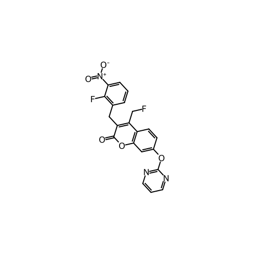 O=c1oc2cc(Oc3ncccn3)ccc2c(CF)c1Cc1cccc([N+](=O)[O-])c1F